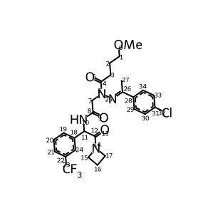 COCCCC(=O)N(CC(=O)NC(C(=O)N1CCC1)c1cccc(C(F)(F)F)c1)/N=C(\C)c1ccc(Cl)cc1